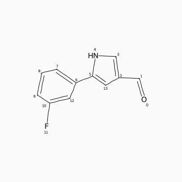 O=Cc1c[nH]c(-c2cccc(F)c2)c1